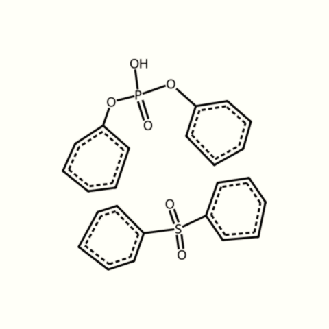 O=P(O)(Oc1ccccc1)Oc1ccccc1.O=S(=O)(c1ccccc1)c1ccccc1